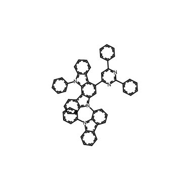 c1ccc(-c2cc(-c3cc4c(c5ccccc5n4-c4cccc5c6ccccc6n(-c6ccccc6)c45)c4c3c3ccccc3n4-c3ccccc3)nc(-c3ccccc3)n2)cc1